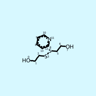 OCCSSCCO.c1ccncc1